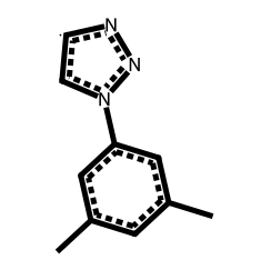 Cc1cc(C)cc(-n2c[c]nn2)c1